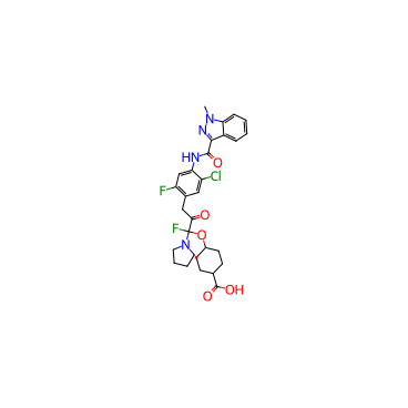 Cn1nc(C(=O)Nc2cc(F)c(CC(=O)C(F)(OC3CCC(C(=O)O)CC3)N3CCCC3)cc2Cl)c2ccccc21